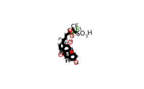 C[C@H](CCC(=O)OC(C(F)(F)F)C(F)(F)S(=O)(=O)O)[C@H]1CC[C@H]2[C@@H]3C(=O)C[C@@H]4CC(=O)CC[C@]4(C)[C@H]3CC(=O)[C@]12C